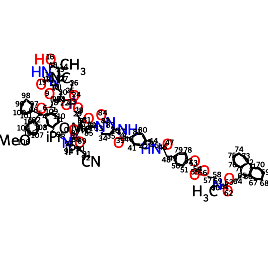 COc1ccc(C(OC[C@H]2O[C@@H](N3C=C(C)[C@@H](O)NC3=O)C[C@H]2OP(OCCC#N)OC[C@H]2O[C@@H](n3ccc(NC(=O)c4ccc(CNC(=O)Cc5ccc(OC(=O)OCCN(C)C(=O)OCC6c7ccccc7-c7ccccc76)cc5)cc4)nc3=O)C[C@H]2OP(OCCC#N)N(C(C)C)C(C)C)(c2ccccc2)c2ccc(OC)cc2)cc1